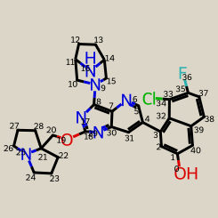 Oc1cc(-c2cnc3c(N4CC5CCC(C4)N5)nc(OCC45CCCN4CCC5)nc3c2)c2c(Cl)c(F)ccc2c1